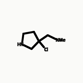 CNCC1(Cl)CCNC1